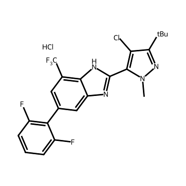 Cl.Cn1nc(C(C)(C)C)c(Cl)c1-c1nc2cc(-c3c(F)cccc3F)cc(C(F)(F)F)c2[nH]1